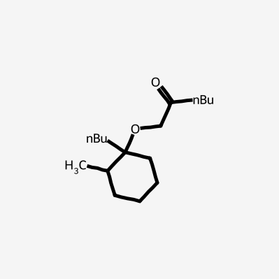 CCCCC(=O)COC1(CCCC)CCCCC1C